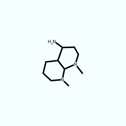 CN1CCCC2C(N)CCN(C)C21